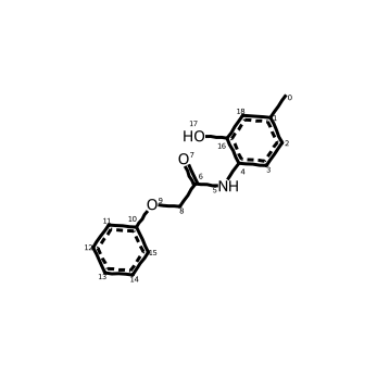 Cc1ccc(NC(=O)COc2ccccc2)c(O)c1